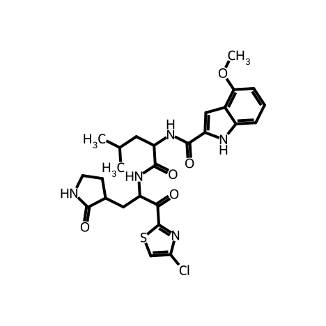 COc1cccc2[nH]c(C(=O)NC(CC(C)C)C(=O)NC(CC3CCNC3=O)C(=O)c3nc(Cl)cs3)cc12